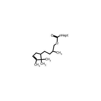 CCCCCCCC(=O)OCC(C)CCC1CC=C(C)C1(C)C